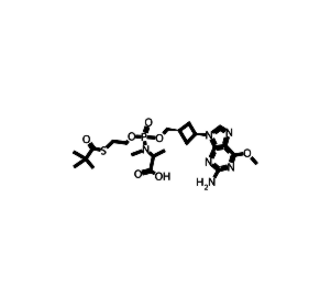 COc1nc(N)nc2c1ncn2[C@H]1C[C@@H](COP(=O)(OCCSC(=O)C(C)(C)C)N(C)C(C)C(=O)O)C1